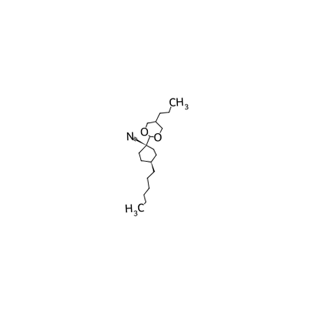 CCCCCC[C@H]1CC[C@](C#N)(C2OCC(CCC)CO2)CC1